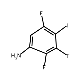 Nc1cc(F)c(I)c(F)c1F